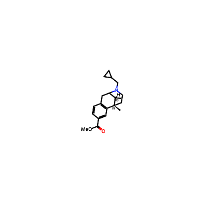 COC(=O)c1ccc2c(c1)[C@@]1(C)CCN(CC3CC3)C(C2)[C@@H]1C